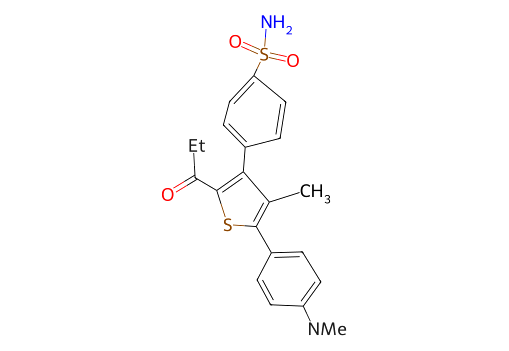 CCC(=O)c1sc(-c2ccc(NC)cc2)c(C)c1-c1ccc(S(N)(=O)=O)cc1